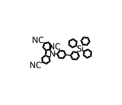 N#Cc1ccc2c(c1)c1cc(C#N)ccc1n2-c1ccc(-c2cccc([Si](c3ccccc3)(c3ccccc3)c3ccccc3)c2)cc1C#N